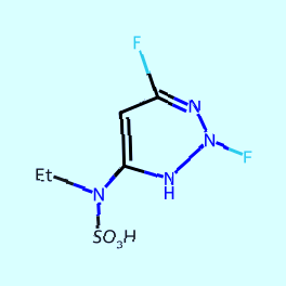 CCN(C1=CC(F)=NN(F)N1)S(=O)(=O)O